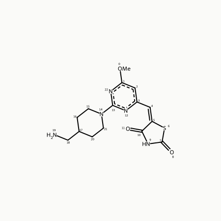 COc1cc(C=C2SC(=O)NC2=O)nc(N2CCC(CN)CC2)n1